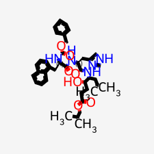 CC(C)COC(=O)CCC(O)C(CC(C)C)NC(=O)[C@H](Cc1c[nH]cn1)NC(=O)[C@@H](Cc1cccc2ccccc12)NC(=O)OCc1ccccc1